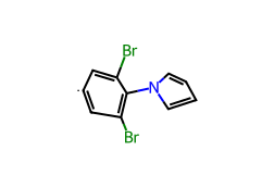 Brc1c[c]cc(Br)c1-n1cccc1